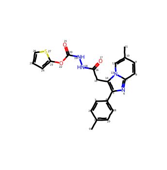 Cc1ccc(-c2nc3ccc(C)cn3c2CC(=O)NNC(=O)Oc2cccs2)cc1